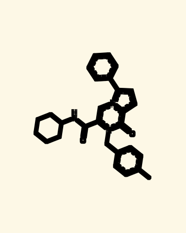 Cc1ccc(Cn2c(C(=O)NC3CCCCC3)cn3c(-c4ccccc4)ccc3c2=O)cc1